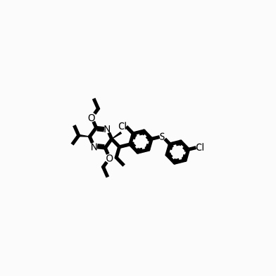 CCOC1=N[C@](C)(C(CC)c2ccc(Sc3cccc(Cl)c3)cc2Cl)C(OCC)=N[C@H]1C(C)C